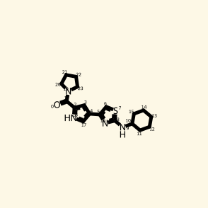 O=C(c1cc(-c2csc(NC3CCCCC3)n2)c[nH]1)N1CCCC1